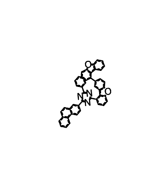 c1ccc(-c2nc(-c3ccc4c(ccc5ccccc54)c3)nc(-c3cccc4oc5ccc(-c6cccc7oc8ccccc8c67)cc5c34)n2)cc1